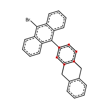 Brc1c2ccccc2c(-c2ccc3c(c2)C2c4ccccc4C3c3ccccc32)c2ccccc12